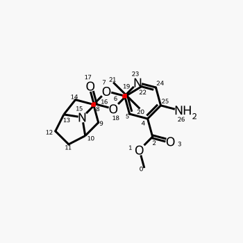 COC(=O)c1cc(OC2CC3CCC(C2)N3C(=O)OC(C)(C)C)ncc1N